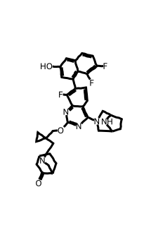 O=C1CC2CCC1CN2CC1(COc2nc(N3CC4CCC(C3)N4)c3ccc(-c4cc(O)cc5ccc(F)c(F)c45)c(F)c3n2)CC1